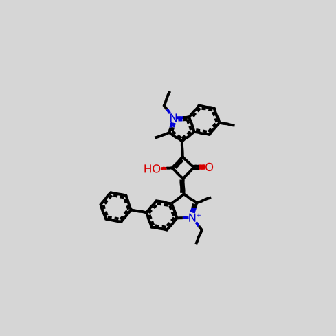 CCn1c(C)c(C2=C(O)/C(=C3/C(C)=[N+](CC)c4ccc(-c5ccccc5)cc43)C2=O)c2cc(C)ccc21